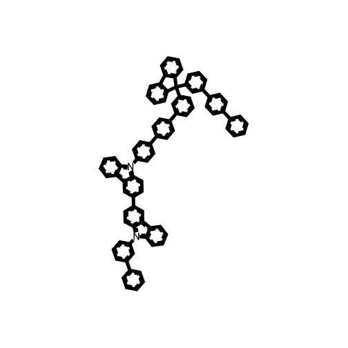 c1ccc(-c2ccc(-c3cccc(C4(c5cccc(-c6ccc(-c7ccc(-n8c9ccccc9c9cc(-c%10ccc%11c(c%10)c%10ccccc%10n%11-c%10cccc(-c%11ccccc%11)c%10)ccc98)cc7)cc6)c5)c5ccccc5-c5ccccc54)c3)cc2)cc1